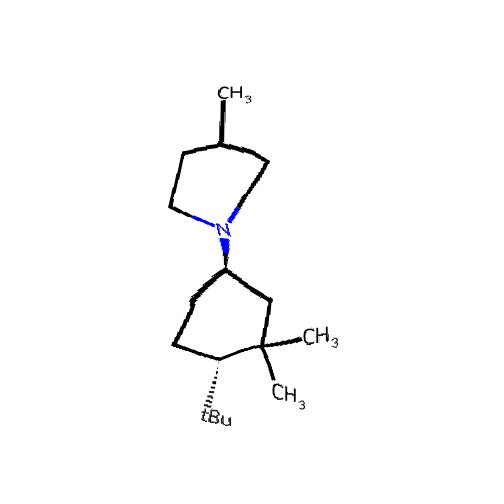 CC1CCN([C@@H]2CC[C@@H](C(C)(C)C)C(C)(C)C2)CC1